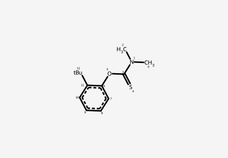 CN(C)C(=S)Oc1ccccc1C(C)(C)C